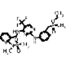 CCOP(C)(=O)Cc1cccc(Nc2ncc(C(F)(F)F)c(NCc3cccnc3N(C)S(C)(=O)=O)n2)c1